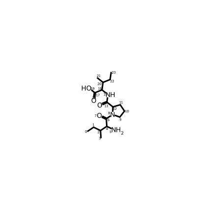 CCC(C)C(N)C(=O)N1CCCC1C(=O)NC(C(=O)O)C(C)CC